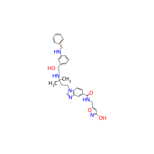 CC(C)(CCn1cnc2cc(C(=O)NCc3cc(O)no3)ccc21)NC[C@H](O)c1cccc(NSc2ccccc2)c1